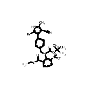 CCOC(=O)c1cccc([N+](=O)[O-])c1N(Cc1ccc(-c2c(Br)[nH]c(C)c2C#N)cc1)C(=O)OC(C)(C)C